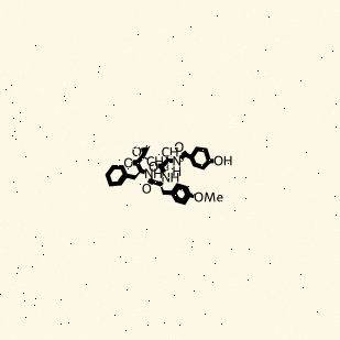 COc1ccc(C[C@H](NC(=O)[C@@H](C)NC(=O)C2CCC(O)CC2)C(=O)N[C@@H](CC2=CCCCC2)C(=O)[C@]2(C)CO2)cc1